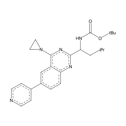 CC(C)CC(NC(=O)OC(C)(C)C)c1nc(N2CC2)c2cc(-c3ccncc3)ccc2n1